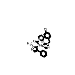 Cn1ncc(-c2ccccc2)c1NC(=O)N1CCC[C@@H]1c1ncnn1Cc1ccc(Cl)cc1